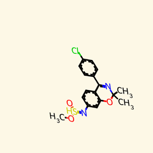 CO[SH](=O)=Nc1ccc2c(c1)OC(C)(C)N=C2c1ccc(Cl)cc1